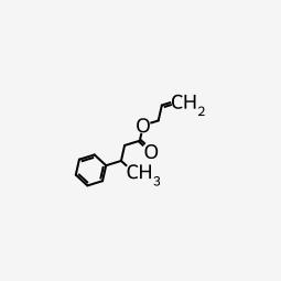 C=CCOC(=O)CC(C)c1ccccc1